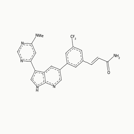 CNc1cc(-c2c[nH]c3ncc(-c4cc(/C=C/C(N)=O)cc(C(F)(F)F)c4)cc23)ncn1